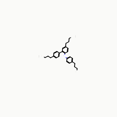 CCCCc1ccc(Nc2ccc(CCCC)cc2-c2ccc(CCCC)cc2)cc1